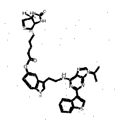 CC(C)n1cnc2c(NCCc3c[nH]c4ccc(OC(=O)CCCC[C@@H]5SC[C@@H]6NC(=O)NC65)cc34)nc(-c3csc4ccccc34)nc21